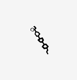 C=CC(=O)C1CCC(c2ccc(-c3ccc(CCC)cc3)cc2)CC1